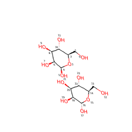 OC[C@H]1O[C@@H](O)[C@@H](O)[C@@H](O)[C@@H]1O.OC[C@H]1O[C@H](O)[C@@H](O)[C@@H](O)[C@@H]1O